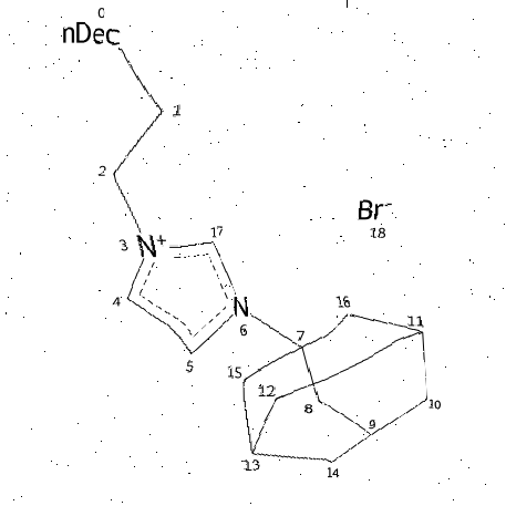 CCCCCCCCCCCC[n+]1ccn(C23CC4CC(CC(C4)C2)C3)c1.[Br-]